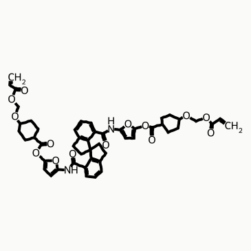 C=CC(=O)OCOC1CCC(C(=O)Oc2ccc(NC(=O)c3cccc4c3C3(CC4)CCc4cccc(C(=O)Nc5ccc(OC(=O)C6CCC(OCOC(=O)C=C)CC6)o5)c43)o2)CC1